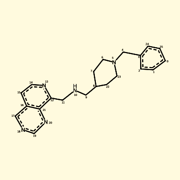 c1ccc(CN2CCC(CNCc3nccc4cncnc34)CC2)cc1